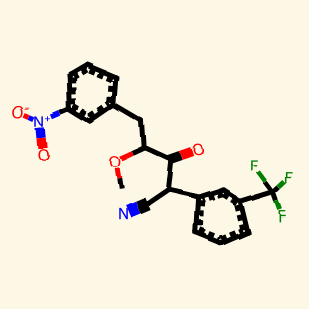 COC(Cc1cccc([N+](=O)[O-])c1)C(=O)C(C#N)c1cccc(C(F)(F)F)c1